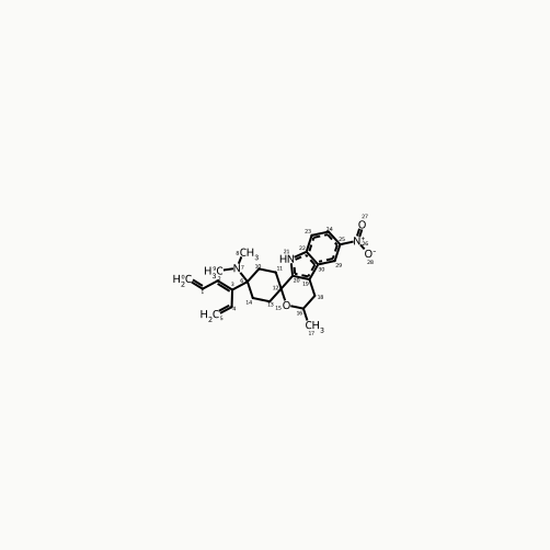 C=C/C=C(\C=C)C1(N(C)C)CCC2(CC1)OC(C)Cc1c2[nH]c2ccc([N+](=O)[O-])cc12